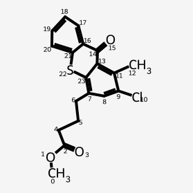 COC(=O)CCCc1cc(Cl)c(C)c2c(=O)c3ccccc3sc12